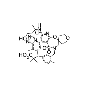 Cc1ccc([C@H](c2ccn3c(C(F)(F)F)nnc3c2C)C(C)(C)C(=O)O)cc1CN1CC2(CCOCC2)Oc2nc(N[C@H](C)CCO)ccc2S1(=O)=O